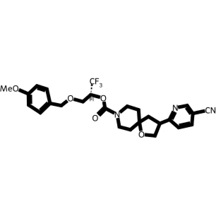 COc1ccc(COC[C@@H](OC(=O)N2CCC3(CC2)CC(c2ccc(C#N)cn2)CO3)C(F)(F)F)cc1